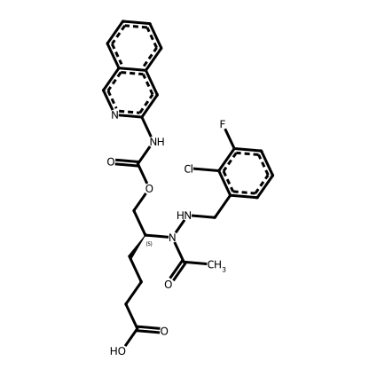 CC(=O)N(NCc1cccc(F)c1Cl)[C@@H](CCCC(=O)O)COC(=O)Nc1cc2ccccc2cn1